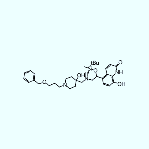 CC(C)(C)[Si](C)(C)OC(CNCC1(O)CCN(CCCOCc2ccccc2)CC1)c1ccc(O)c2[nH]c(=O)ccc12